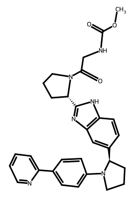 COC(=O)NCC(=O)N1CCC[C@H]1c1nc2cc([C@H]3CCCN3c3ccc(-c4ccccn4)cc3)ccc2[nH]1